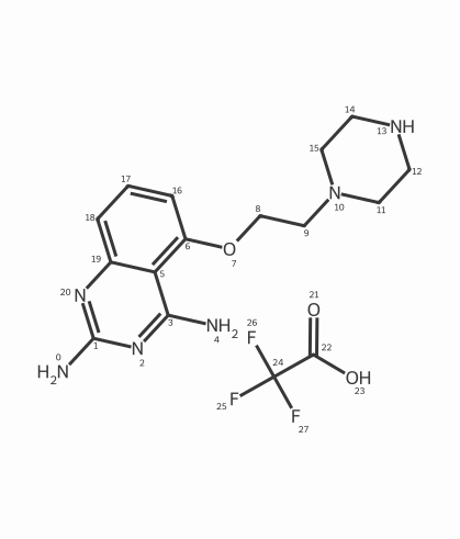 Nc1nc(N)c2c(OCCN3CCNCC3)cccc2n1.O=C(O)C(F)(F)F